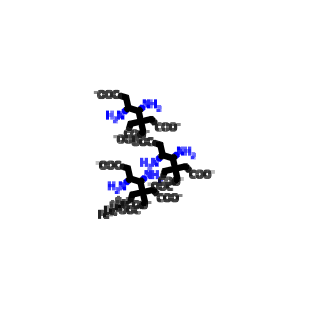 NC(CC(=O)[O-])C(N)C(CC(=O)[O-])(CC(=O)[O-])CC(=O)[O-].NC(CC(=O)[O-])C(N)C(CC(=O)[O-])(CC(=O)[O-])CC(=O)[O-].NC(CC(=O)[O-])C(N)C(CC(=O)[O-])(CC(=O)[O-])CC(=O)[O-].[Fe+3].[Fe+3].[Fe+3].[Fe+3]